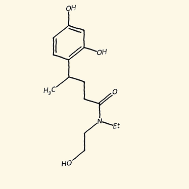 CCN(CCO)C(=O)CCC(C)c1ccc(O)cc1O